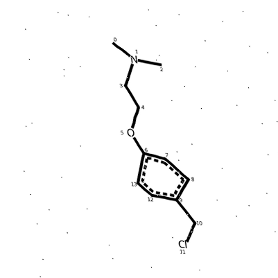 CN(C)CCOc1ccc(CCl)cc1